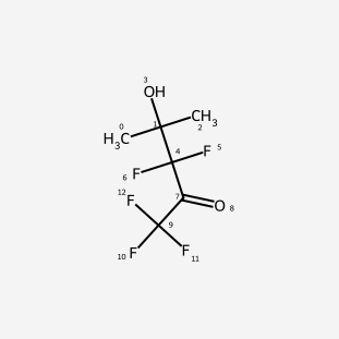 CC(C)(O)C(F)(F)C(=O)C(F)(F)F